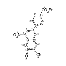 CCOC(=O)c1ccc(-c2cc([N+](=O)[O-])c3oc(=O)c(C#N)cc3c2)cc1